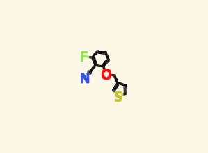 N#Cc1c(F)cccc1OCc1ccsc1